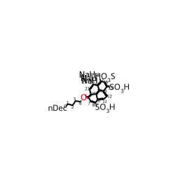 CCCCCCCCCCCCCCOc1cc(S(=O)(=O)O)c2ccc3c(S(=O)(=O)O)cc(S(=O)(=O)O)c4ccc1c2c43.[NaH].[NaH].[NaH]